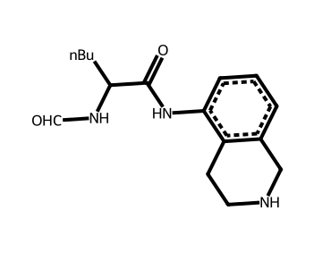 CCCCC(NC=O)C(=O)Nc1cccc2c1CCNC2